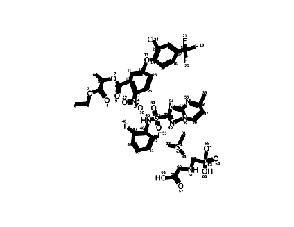 CCOC(=O)C(C)OC(=O)c1cc(Oc2ccc(C(F)(F)F)cc2Cl)ccc1[N+](=O)[O-].C[S+](C)C.Cc1ccn2nc(S(=O)(=O)Nc3c(F)cccc3F)nc2n1.O=C(O)CNCP(=O)([O-])O